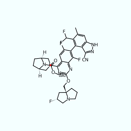 Cc1cc2[nH]nc(C#N)c2c(-c2c(F)cc3c(N4C[C@H]5CC[C@@H](C4)N5C(=O)OC(C)(C)C)nc(OC[C@@]45CCCN4C[C@H](F)C5)nc3c2F)c1C(F)F